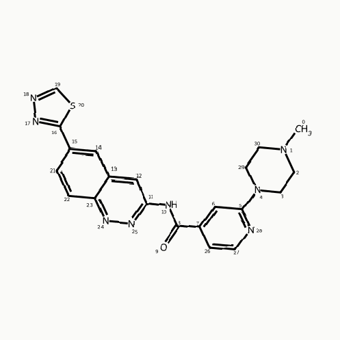 CN1CCN(c2cc(C(=O)Nc3cc4cc(-c5nncs5)ccc4nn3)ccn2)CC1